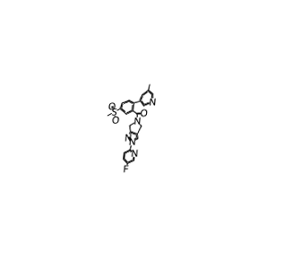 Cc1cncc(-c2ccc(S(C)(=O)=O)cc2C(=O)N2Cc3cn(-c4ccc(F)cn4)nc3C2)c1